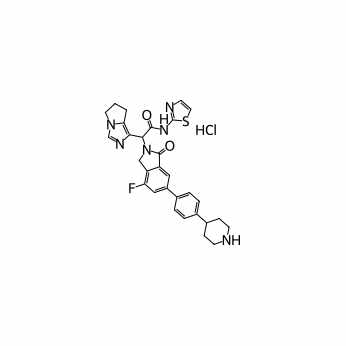 Cl.O=C(Nc1nccs1)C(c1ncn2c1CCC2)N1Cc2c(F)cc(-c3ccc(C4CCNCC4)cc3)cc2C1=O